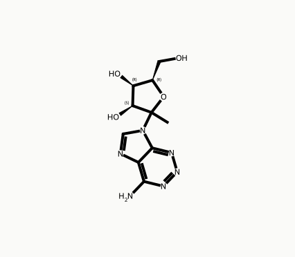 CC1(n2cnc3c(N)nnnc32)O[C@H](CO)[C@H](O)[C@@H]1O